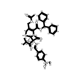 CC(=O)OCC1=C(C(=O)OC(c2ccccc2)c2ccccc2)N2C(=O)[C@@](N=Cc3ccc([N+](=O)[O-])cc3)(C(=O)C(C)C)[C@H]2SC1